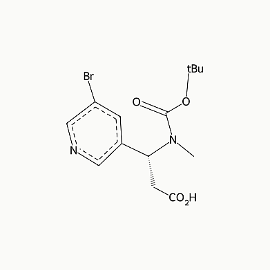 CN(C(=O)OC(C)(C)C)[C@H](CC(=O)O)c1cncc(Br)c1